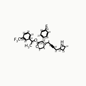 CC(O[C@H]1OCCN(CC#CCC2CCN2)[C@H]1c1ccc(F)cc1)c1cccc(C(F)(F)F)c1